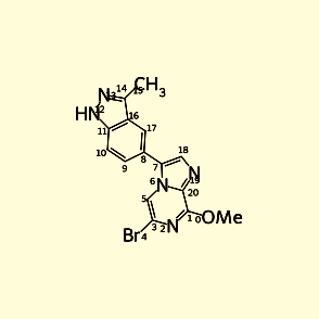 COc1nc(Br)cn2c(-c3ccc4[nH]nc(C)c4c3)cnc12